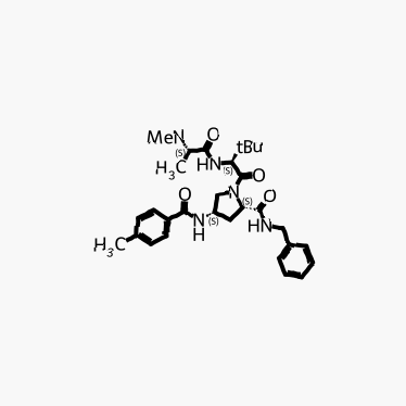 CN[C@@H](C)C(=O)N[C@H](C(=O)N1C[C@@H](NC(=O)c2ccc(C)cc2)C[C@H]1C(=O)NCc1ccccc1)C(C)(C)C